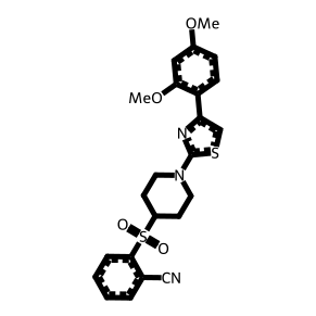 COc1ccc(-c2csc(N3CCC(S(=O)(=O)c4ccccc4C#N)CC3)n2)c(OC)c1